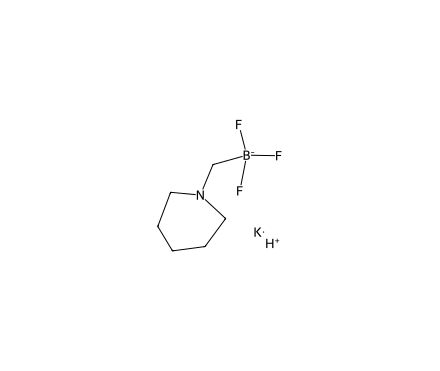 F[B-](F)(F)CN1CCCCC1.[H+].[K]